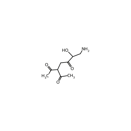 CC(=O)C(CC(=O)C(O)CN)C(C)=O